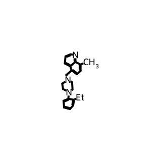 CCc1ccccc1N1CCN(Cc2ccc(C)c3ncccc23)CC1